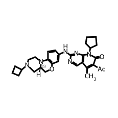 CC(=O)c1c(C)c2cnc(Nc3ccc4c(c3)OC[C@@H]3CN(C5CCC5)CCN43)nc2n(C2CCCC2)c1=O